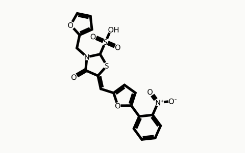 O=C1C(=Cc2ccc(-c3ccccc3[N+](=O)[O-])o2)SC(S(=O)(=O)O)N1Cc1ccco1